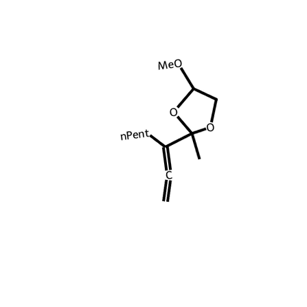 C=C=C(CCCCC)C1(C)OCC(OC)O1